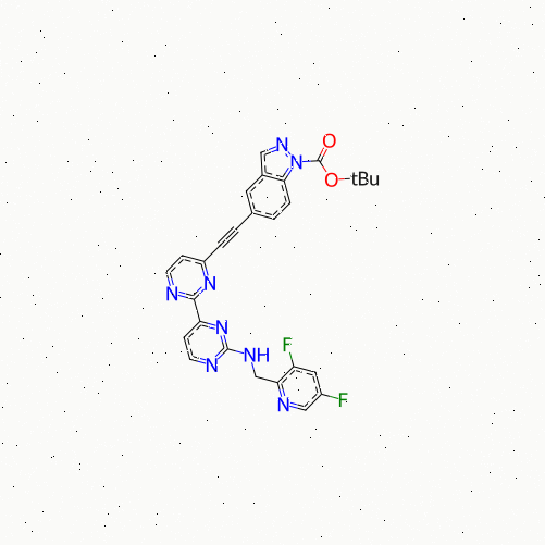 CC(C)(C)OC(=O)n1ncc2cc(C#Cc3ccnc(-c4ccnc(NCc5ncc(F)cc5F)n4)n3)ccc21